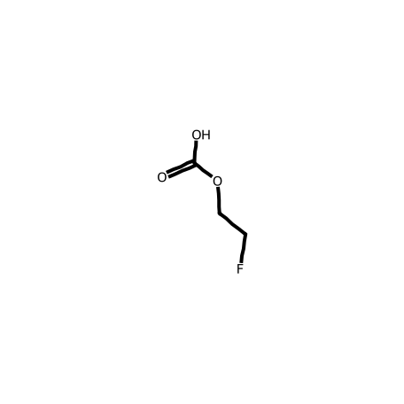 O=C(O)OCCF